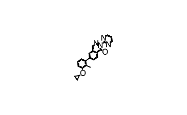 Cc1c(OC2CC2)cccc1-c1ccc2c(=O)n(-c3ncccn3)ncc2c1